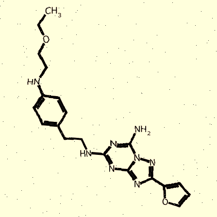 CCOCCNc1ccc(CCNc2nc(N)n3nc(-c4ccco4)nc3n2)cc1